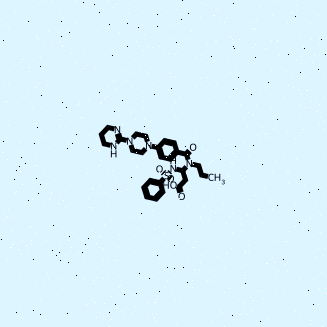 CCCN(C(=O)c1ccc(N2CCN(C3=NCCCN3)CC2)cc1)C(CC(=O)O)NS(=O)(=O)c1ccccc1